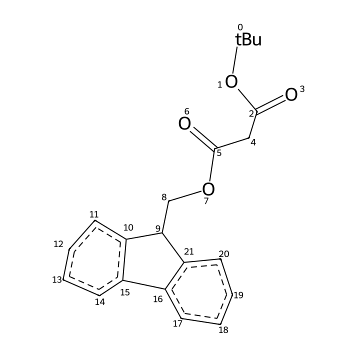 CC(C)(C)OC(=O)CC(=O)OCC1c2ccccc2-c2ccccc21